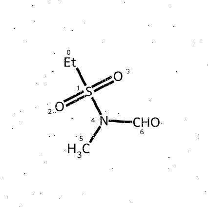 CCS(=O)(=O)N(C)C=O